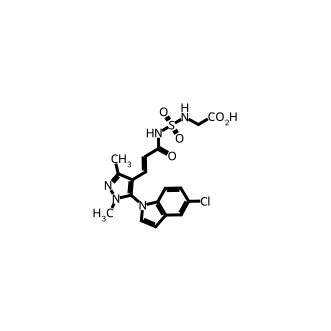 Cc1nn(C)c(-n2ccc3cc(Cl)ccc32)c1/C=C/C(=O)NS(=O)(=O)NCC(=O)O